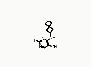 N#Cc1cnc(F)nc1NC1CC2(COC2)C1